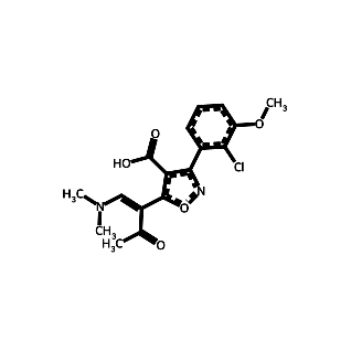 COc1cccc(-c2noc(/C(=C/N(C)C)C(C)=O)c2C(=O)O)c1Cl